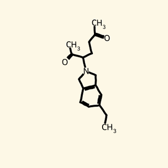 CCc1ccc2c(c1)CN(C(CCC(C)=O)C(C)=O)C2